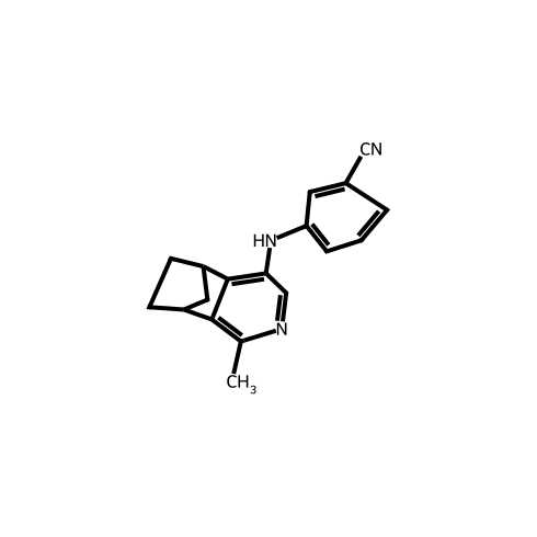 Cc1ncc(Nc2cccc(C#N)c2)c2c1C1CCC2C1